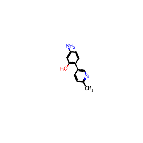 Cc1ccc(-c2ccc(N)cc2O)cn1